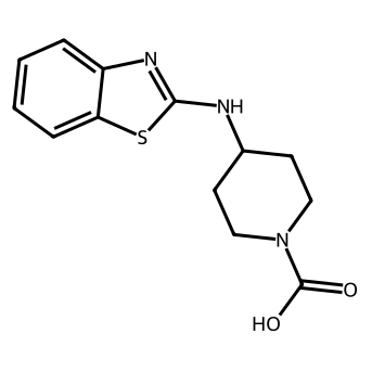 O=C(O)N1CCC(Nc2nc3ccccc3s2)CC1